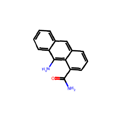 NC(=O)c1cccc2cc3ccccc3c(N)c12